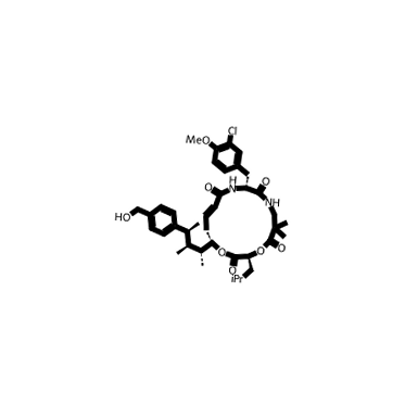 COc1ccc(C[C@H]2NC(=O)/C=C/C[C@@H]([C@H](C)[C@@H](C)[C@H](C)c3ccc(CO)cc3)OC(=O)[C@H](CC(C)C)OC(=O)C(C)(C)CNC2=O)cc1Cl